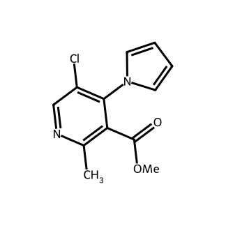 COC(=O)c1c(C)ncc(Cl)c1-n1cccc1